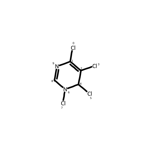 ClC1=C(Cl)C(Cl)N(Cl)[C]=N1